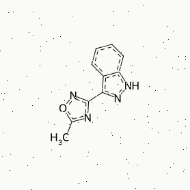 Cc1nc(-c2n[nH]c3ccccc23)no1